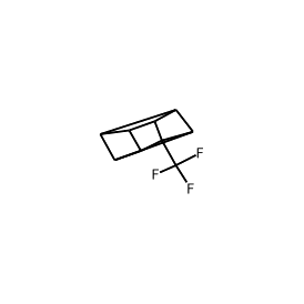 FC(F)(F)C12C3C4C5C3C1C5C42